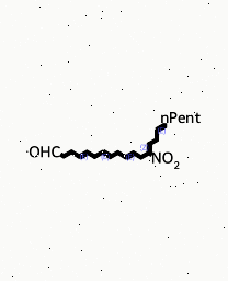 CCCCC/C=C/C/C=C(/C/C=C/C/C=C/C/C=C/CC[C]=O)[N+](=O)[O-]